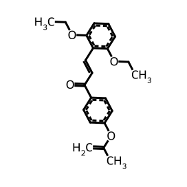 C=C(C)Oc1ccc(C(=O)/C=C/c2c(OCC)cccc2OCC)cc1